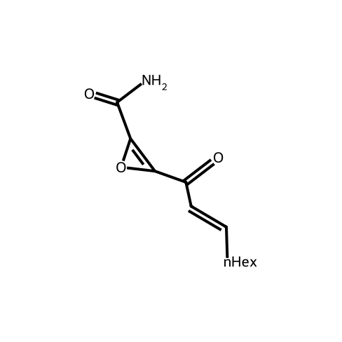 CCCCCC/C=C/C(=O)C1=C(C(N)=O)O1